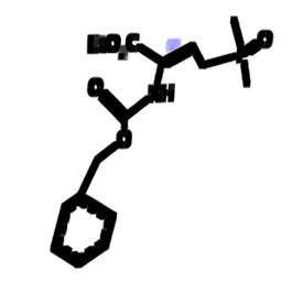 CCOC(=O)/C(=C/CP(C)(C)=O)NC(=O)OCc1ccccc1